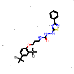 CCC(C)(C)c1ccc(OCCCNC(=O)NNc2nc(-c3ccccc3)ns2)c(C(C)(C)CC)c1